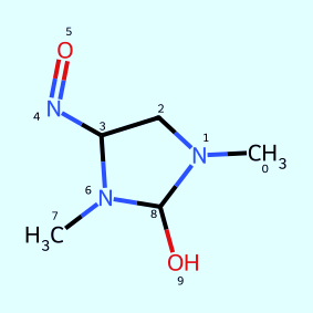 CN1CC(N=O)N(C)C1O